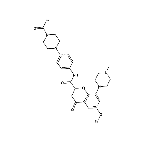 CCOc1cc2c(c(N3CCN(C)CC3)c1)OC(C(=O)Nc1ccc(N3CCN(C(=O)CC)CC3)cc1)CC2=O